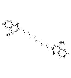 Nc1cc(CCCCCCCCCCc2cc(N)c3ccccc3n2)nc2ccccc12